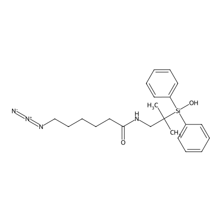 CC(C)(CNC(=O)CCCCCN=[N+]=[N-])[Si](O)(c1ccccc1)c1ccccc1